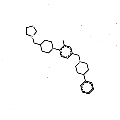 Fc1cc(CN2CCC(c3ccccc3)CC2)ccc1N1CCC(CN2CCCC2)CC1